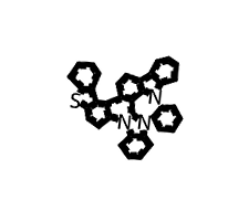 c1ccc(-n2c3ccccc3c3ccc4c5c6c(ccc5n5c7ccccc7nc5c4c32)sc2ccccc26)cc1